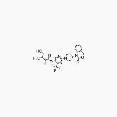 CC(CO)NC(=O)Oc1cnc(N2CCC(N3C(=O)OCc4ccccc43)CC2)nc1C(F)(F)F